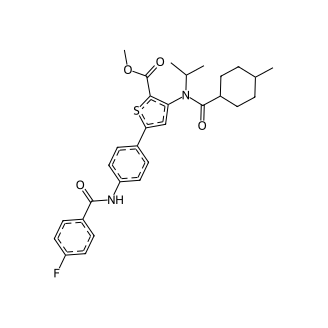 COC(=O)c1sc(-c2ccc(NC(=O)c3ccc(F)cc3)cc2)cc1N(C(=O)C1CCC(C)CC1)C(C)C